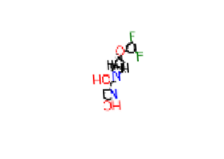 Oc1ccc(C(O)CN2C[C@H]3C[C@H](Oc4cc(F)cc(F)c4)C[C@H]3C2)nc1